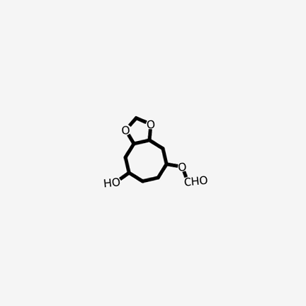 O=COC1CCC(O)CC2OCOC2C1